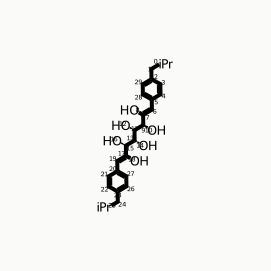 CC(C)Cc1ccc(C=C(O)[C@@H](O)[C@@H](O)[C@H](O)[C@@H](O)C(O)=Cc2ccc(CC(C)C)cc2)cc1